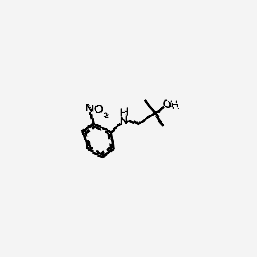 CC(C)(O)CNc1ccccc1[N+](=O)[O-]